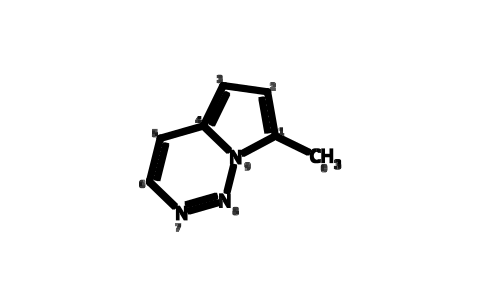 Cc1ccc2ccnnn12